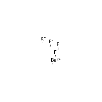 [Ba+2].[F-].[F-].[F-].[K+]